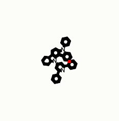 C1=CC2c3ccc4c(c3N(c3cc(-c5ccccc5)nc(-c5ccccc5)c3)C2C=C1)c1ccccc1n4-c1ccccc1